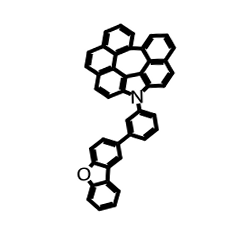 c1cc(-c2ccc3oc4ccccc4c3c2)cc(-n2c3ccc4cccc5c4c3c3c4c(ccc6cccc-5c64)ccc32)c1